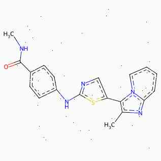 CNC(=O)c1ccc(Nc2ncc(-c3c(C)nc4ccccn34)s2)cc1